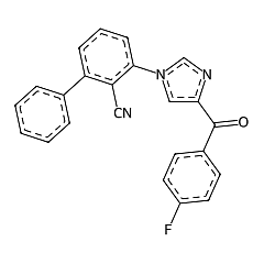 N#Cc1c(-c2ccccc2)cccc1-n1cnc(C(=O)c2ccc(F)cc2)c1